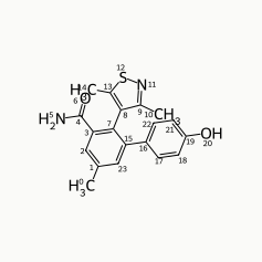 Cc1cc(C(N)=O)c(-c2c(C)nsc2C)c(-c2ccc(O)cc2)c1